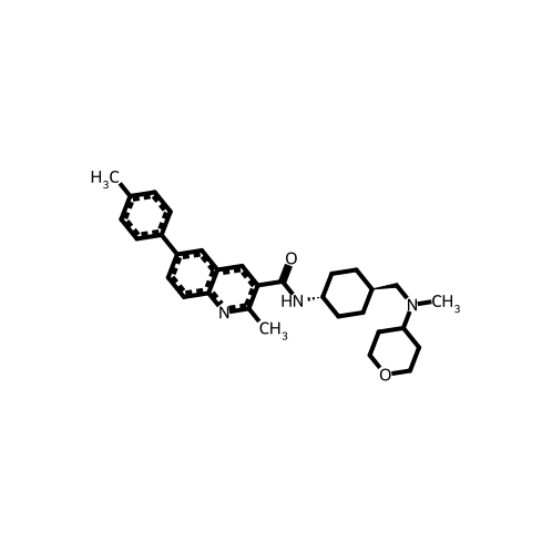 Cc1ccc(-c2ccc3nc(C)c(C(=O)N[C@H]4CC[C@H](CN(C)C5CCOCC5)CC4)cc3c2)cc1